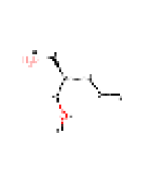 BC[C@@H](CCC)COC